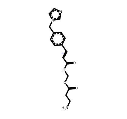 NCCC(=O)OCOC(=O)/C=C/c1ccc(Cn2ccnc2)cc1